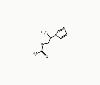 CC(CNC(N)=O)n1ccnc1